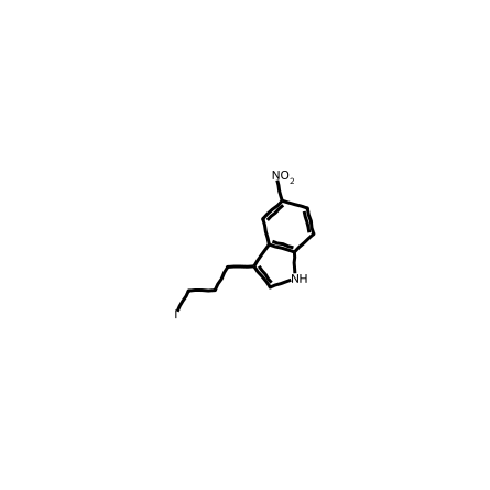 O=[N+]([O-])c1ccc2[nH]cc(CCCI)c2c1